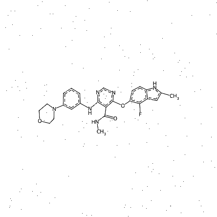 CNC(=O)c1c(Nc2cccc(N3CCOCC3)c2)ncnc1Oc1ccc2[nH]c(C)cc2c1F